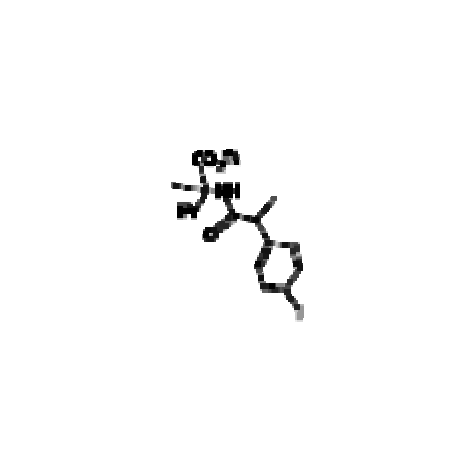 CCOC(=O)C(C)(NC(=O)C(C)c1ccc(I)cc1)C(C)C